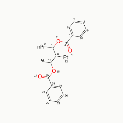 CCCC(OC(=O)c1ccccc1)C(CC)C(C)OC(=O)c1ccccc1